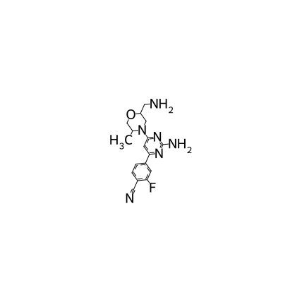 CC1COC(CN)CN1c1cc(-c2ccc(C#N)c(F)c2)nc(N)n1